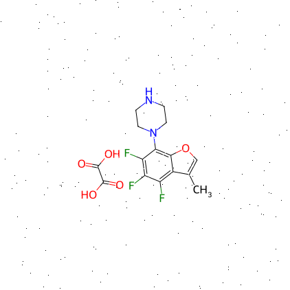 Cc1coc2c(N3CCNCC3)c(F)c(F)c(F)c12.O=C(O)C(=O)O